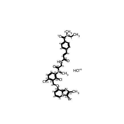 CCN(C)C(=O)c1ccc(/C=C/C(=O)NCC(=O)N(C)c2ccc(Cl)c(COc3cccn4c(Br)c(C)nc34)c2Cl)cc1.Cl